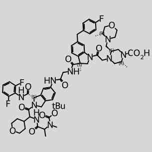 CC(C(=O)NC(C(=O)N1Cc2ccc(NC(=O)CNC(=O)[C@]3(C)CN(C(=O)CN4C[C@@H](C)N(C(=O)O)C[C@@H]4CN4CCOC[C@H]4C)c4cc(Cc5ccc(F)cc5)ccc43)cc2[C@H]1C(=O)Nc1c(F)cccc1F)C1CCOCC1)N(C)C(=O)OC(C)(C)C